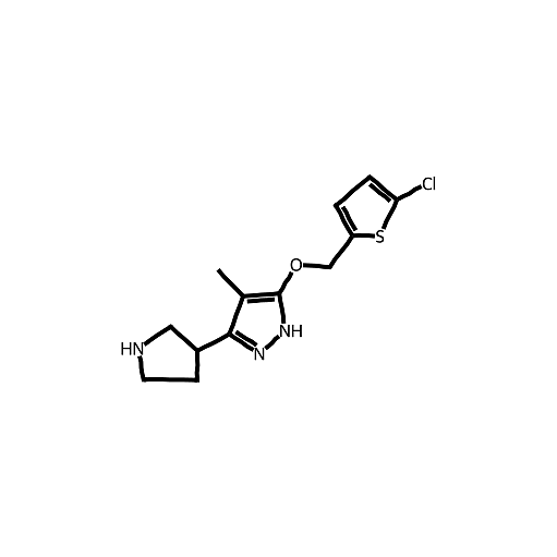 Cc1c(C2CCNC2)n[nH]c1OCc1ccc(Cl)s1